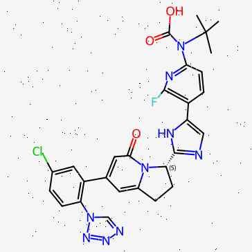 CC(C)(C)N(C(=O)O)c1ccc(-c2cnc([C@@H]3CCc4cc(-c5cc(Cl)ccc5-n5cnnn5)cc(=O)n43)[nH]2)c(F)n1